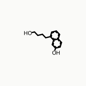 OCCCCc1cccc2ccc(O)cc12